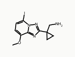 COc1ccc(I)n2nc(C3(CN)CC3)nc12